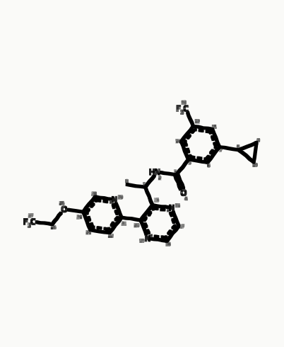 CC(NC(=O)c1cc(C2CC2)cc(C(F)(F)F)c1)c1nccnc1-c1ccc(OCC(F)(F)F)cn1